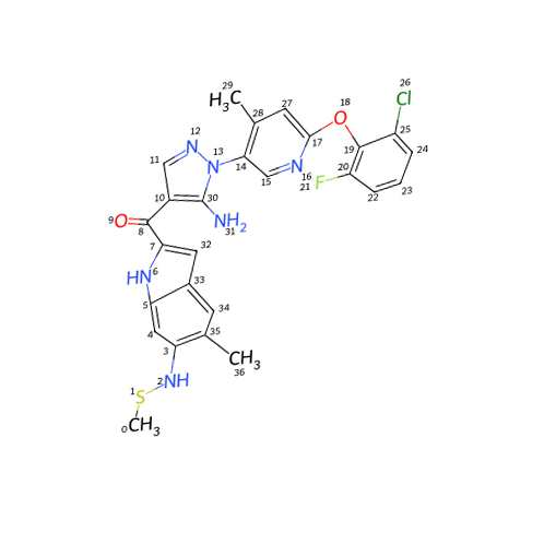 CSNc1cc2[nH]c(C(=O)c3cnn(-c4cnc(Oc5c(F)cccc5Cl)cc4C)c3N)cc2cc1C